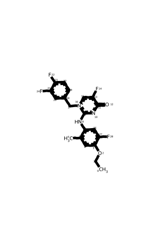 CCOc1cc(C)c(Nc2nc(=O)c(F)cn2Cc2ccc(F)c(F)c2)cc1F